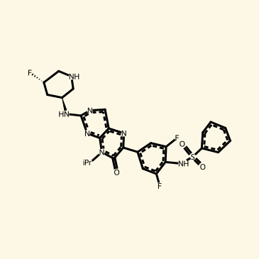 CC(C)n1c(=O)c(-c2cc(F)c(NS(=O)(=O)c3ccccc3)c(F)c2)nc2cnc(N[C@@H]3CNC[C@@H](F)C3)nc21